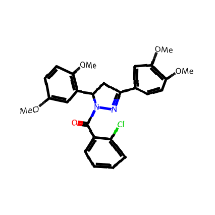 COc1ccc(OC)c(C2CC(c3ccc(OC)c(OC)c3)=NN2C(=O)c2ccccc2Cl)c1